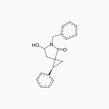 O=C1N(Cc2ccccc2)C(O)CC12C[C@H]2c1ccccc1